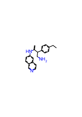 C=C(Nc1ccc2cnccc2c1)C(CN)c1ccc(CC)cc1